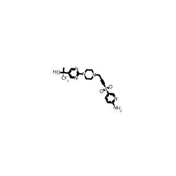 C[C@](O)(c1cnc(N2CCN(CC#CS(=O)(=O)c3ccc(N)nc3)CC2)nc1)C(F)(F)F